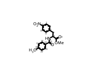 COC(=O)C(Cc1ccc([N+](=O)[O-])cc1)NC(=O)c1ccc(C)cc1